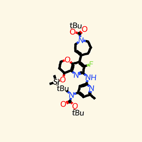 Cc1cc(N(C)C(=O)OC(C)(C)C)cc(Nc2nc3c(c(C4=CCN(C(=O)OC(C)(C)C)CCC4)c2F)OCCC3O[Si](C)(C)C(C)(C)C)n1